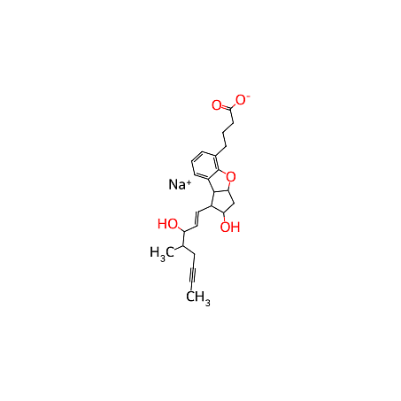 CC#CCC(C)C(O)/C=C/C1C(O)CC2Oc3c(CCCC(=O)[O-])cccc3C21.[Na+]